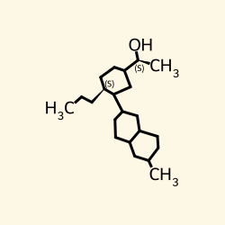 CCC[C@H]1CCC([C@H](C)O)CC1C1CCC2CC(C)CCC2C1